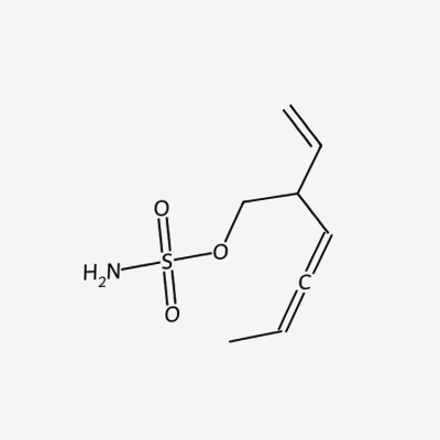 C=CC(C=C=CC)COS(N)(=O)=O